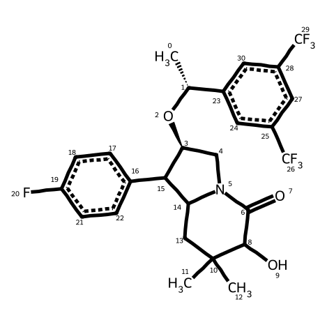 C[C@@H](O[C@H]1CN2C(=O)C(O)C(C)(C)CC2C1c1ccc(F)cc1)c1cc(C(F)(F)F)cc(C(F)(F)F)c1